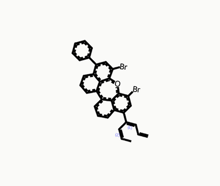 C=C/C=C(\C=C/C)c1cc(Br)c2oc3c(Br)cc(-c4ccccc4)c4cccc(c5cccc1c25)c43